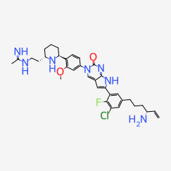 C=C[C@H](N)CCCc1cc(Cl)c(F)c(-c2cc3cn(-c4ccc([C@@H]5CCC[C@@H](CCNC(C)=N)N5)c(OC)c4)c(=O)nc3[nH]2)c1